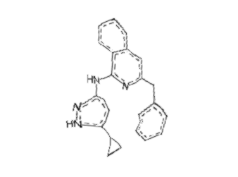 c1ccc(Cc2cc3ccccc3c(Nc3cc(C4CC4)[nH]n3)n2)cc1